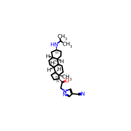 CC(C)N[C@H]1CC[C@H]2[C@H](CC[C@@H]3[C@@H]2CC[C@]2(C)[C@@H](C(=O)Cn4cc(C#N)cn4)CC[C@@H]32)C1